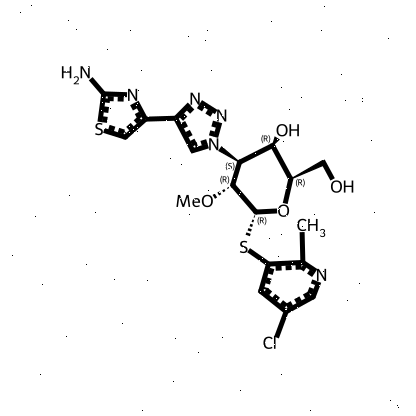 CO[C@@H]1[C@@H](n2cc(-c3csc(N)n3)nn2)[C@@H](O)[C@@H](CO)O[C@@H]1Sc1cc(Cl)cnc1C